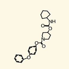 O=C(NC1CCCCC1)OC1CCN(C(=O)Oc2ccc(Oc3ccccc3)cc2)CC1